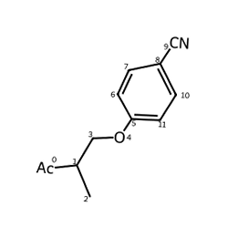 CC(=O)C(C)COc1ccc(C#N)cc1